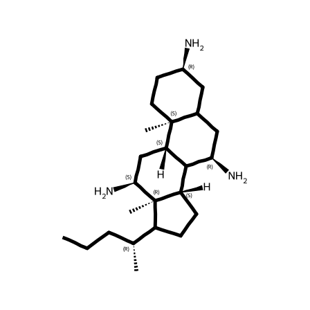 CCC[C@@H](C)C1CC[C@H]2C3[C@H](N)CC4C[C@H](N)CC[C@]4(C)[C@H]3C[C@H](N)[C@]12C